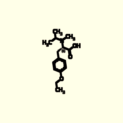 CCOc1ccc(C[C@@H](C(=O)O)N(C)C(C)C)cc1